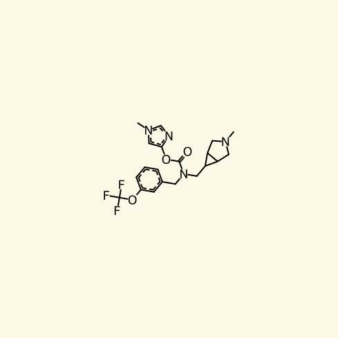 CN1CC2C(C1)C2CN(Cc1cccc(OC(F)(F)F)c1)C(=O)Oc1cn(C)cn1